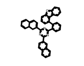 C1=CC2=CC=C(c3nc(-c4ccc5ccccc5c4)nc(-c4ccccc4-c4cccc5oc6ccccc6c45)n3)CC2C=C1